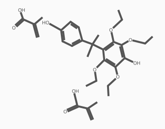 C=C(C)C(=O)O.C=C(C)C(=O)O.CCOc1c(O)c(OCC)c(OCC)c(C(C)(C)c2ccc(O)cc2)c1OCC